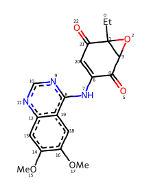 CCC12OC1C(=O)C(Nc1ncnc3cc(OC)c(OC)cc13)=CC2=O